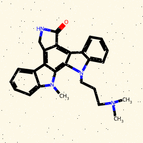 CN(C)CCCn1c2ccccc2c2c3c(c4c5ccccc5n(C)c4c21)CNC3=O